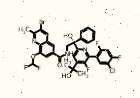 Cc1nc2c(OC(F)F)cc(C(=O)NC[C@@](O)(c3ccccc3)c3cc(C(C)(C)O)c(F)c(-c4cc(Cl)c(F)cc4F)n3)cc2cc1Br